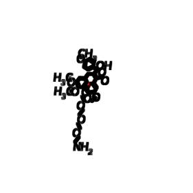 COc1ccc(C2(O)OC(=O)C(c3ccc4c(c3)OCO4)=C2Cc2cc(OC)c(OC)c(OCCOCCOCCOCCN)c2)cc1